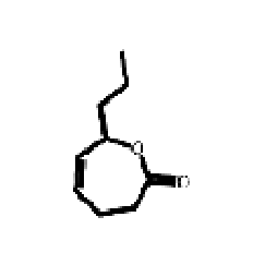 CCCC1C=CCCC(=O)O1